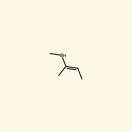 CB/C(C)=C/C